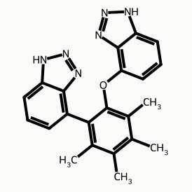 Cc1c(C)c(C)c(-c2cccc3[nH]nnc23)c(Oc2cccc3[nH]nnc23)c1C